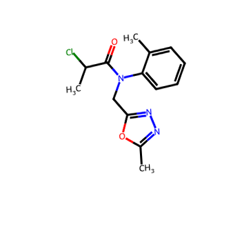 Cc1nnc(CN(C(=O)C(C)Cl)c2ccccc2C)o1